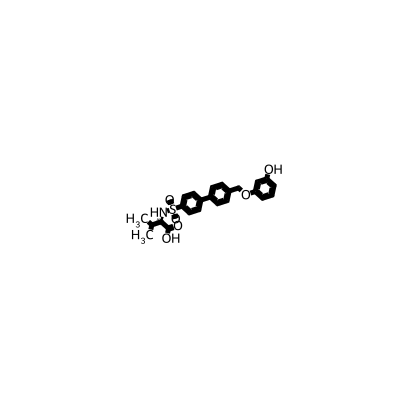 CC(C)[C@@H](NS(=O)(=O)c1ccc(-c2ccc(COc3cccc(O)c3)cc2)cc1)C(=O)O